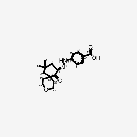 CC1(C)C/C(=N\Nc2ccc(C(=O)O)cc2)C(=O)C2(CCOCC2)C1